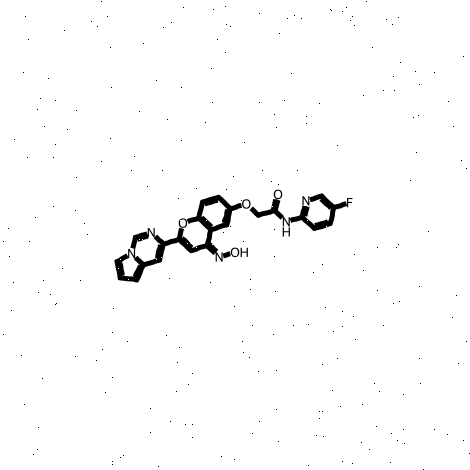 O=C(COc1ccc2oc(-c3cc4cccn4cn3)c/c(=N/O)c2c1)Nc1ccc(F)cn1